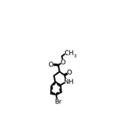 CCOC(=O)C1Cc2ccc(Br)cc2NC1=O